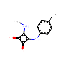 CCC(C)Nc1c(Nc2ccc(C#N)cc2)c(=O)c1=O